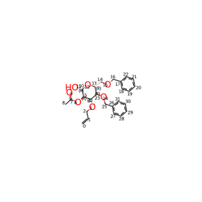 C=CCO[C@@H]1[C@@H](OC(C)=O)[C@H](O)O[C@H](COCc2ccccc2)[C@H]1OCc1ccccc1